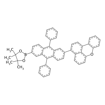 CC1(C)OB(c2ccc3c(-c4ccccc4)c4cc(-c5ccc6c7c(cccc57)Oc5ccccc5-6)ccc4c(-c4ccccc4)c3c2)OC1(C)C